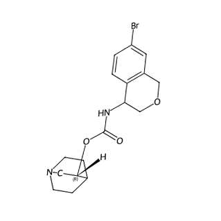 O=C(NC1COCc2cc(Br)ccc21)O[C@H]1CN2CCC1CC2